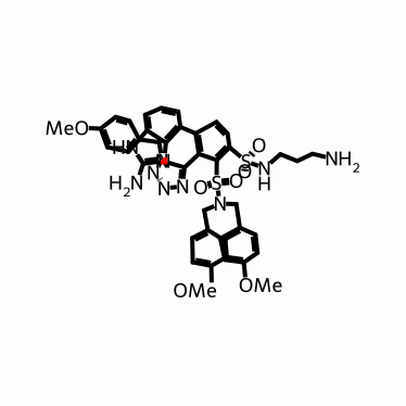 COc1ccc(CN(Cc2ccc(OC)cc2)S(=O)(=O)c2c(S(=O)(=O)NCCCN)ccc(-c3cccc4[nH]c(N)nc34)c2-c2nnnn2Cc2ccc(OC)cc2)cc1